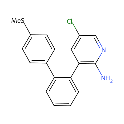 CSc1ccc(-c2ccccc2-c2cc(Cl)cnc2N)cc1